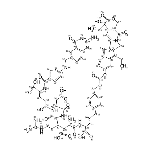 CCc1c2c(nc3ccc(OC(=O)OCc4ccc(SSC[C@H](NC(=O)[C@@H](N)C(C(=O)O)C(CCNC(N)N)[C@@H](C=O)NC(=O)[C@H](CC(=O)O)NC(=O)CC[C@H](NC(=O)c5ccc(NCc6cnc7nc(N)[nH]c(=O)c7n6)cc5)C(=O)O)C(=O)O)cc4)cc13)-c1cc3c(c(=O)n1C2)COC(=O)[C@]3(O)CC